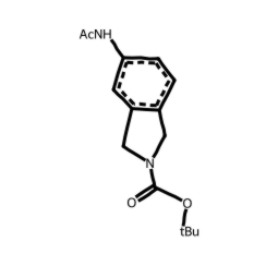 CC(=O)Nc1ccc2c(c1)CN(C(=O)OC(C)(C)C)C2